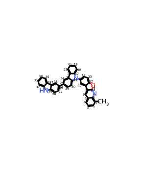 Cc1cccc2cc3c(nc12)oc1ccc(-n2c4ccccc4c4cc(-c5ccc6[nH]c7ccccc7c6c5)ccc42)cc13